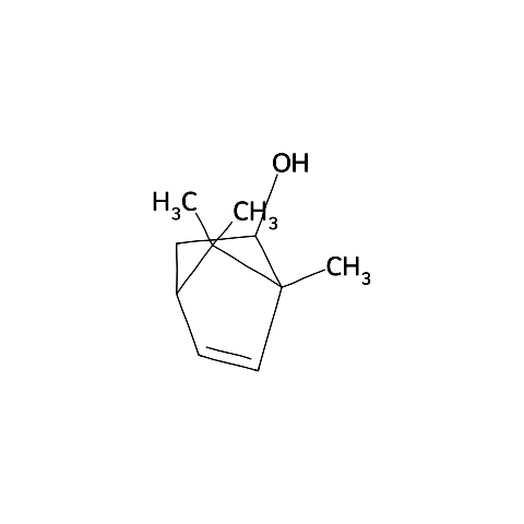 CC1(C)C2C=CC1(C)C(O)C2